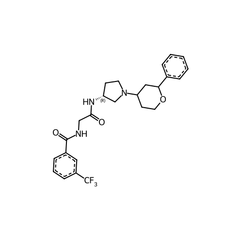 O=C(CNC(=O)c1cccc(C(F)(F)F)c1)N[C@@H]1CCN(C2CCOC(c3ccccc3)C2)C1